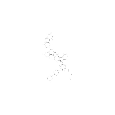 C=C/C=C\C=C(/C)c1nc(-c2ccc(-c3ccccc3)cc2)nc(-n2c3ccccc3c3c4oc5cc(-c6ccc7sc8ccccc8c7c6)c6ccccc6c5c4ccc32)n1